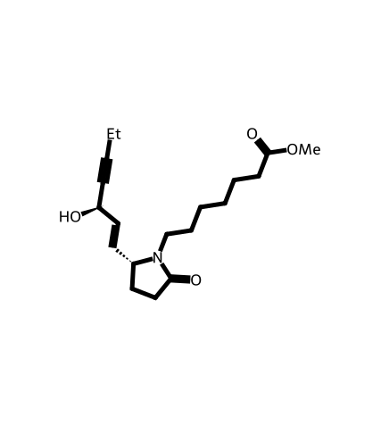 CCC#C[C@H](O)/C=C/[C@H]1CCC(=O)N1CCCCCCC(=O)OC